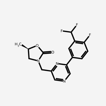 C[C@@H]1CN(Cc2cncc(-c3ccc(F)c(C(F)F)c3)n2)C(=O)O1